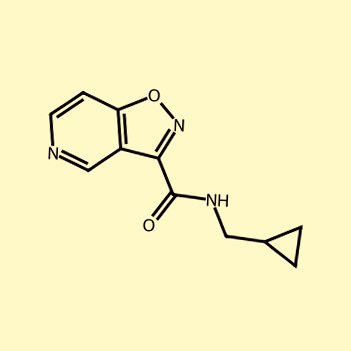 O=C(NCC1CC1)c1noc2ccncc12